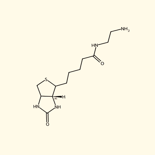 NCCNC(=O)CCCCC1SCC2NC(=O)N[C@H]21